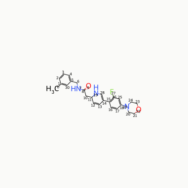 Cc1cccc(CNC(=O)CC2C=CC(c3ccc(N4CCOCC4)cc3F)=CN2)c1